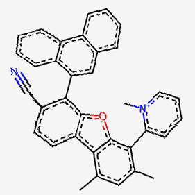 Cc1cc(C)c2c(oc3c(-c4cc5ccccc5c5ccccc45)c(C#N)ccc32)c1-c1cccc[n+]1C